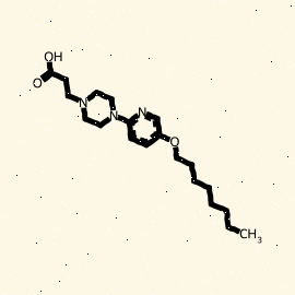 CCCCCCCCOc1ccc(N2CCN(CCC(=O)O)CC2)nc1